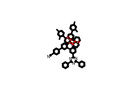 Cc1ccc(-c2ccc3c(c2)c2ccccc2n3-c2ccc(-c3ccc(C#N)cc3)cc2-c2cc(-c3nc(-c4ccccc4)nc(-c4ccccc4)n3)ccc2-n2c3ccccc3c3cc(-c4ccc(C)cc4C)ccc32)c(C)c1